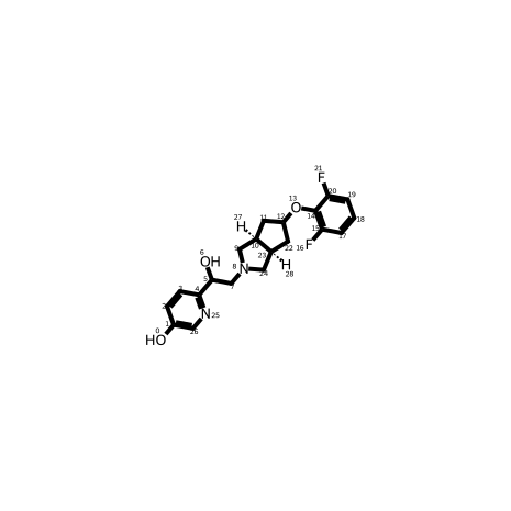 Oc1ccc(C(O)CN2C[C@H]3CC(Oc4c(F)cccc4F)C[C@H]3C2)nc1